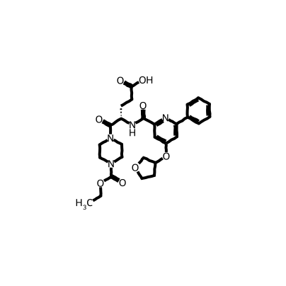 CCOC(=O)N1CCN(C(=O)[C@H](CCC(=O)O)NC(=O)c2cc(OC3CCOC3)cc(-c3ccccc3)n2)CC1